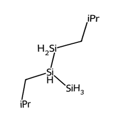 CC(C)C[SiH2][SiH]([SiH3])CC(C)C